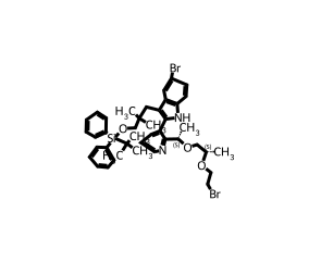 C[C@H](OC[C@H](C)OCCBr)c1ncccc1-c1[nH]c2ccc(Br)cc2c1CC(C)(C)CO[Si](c1ccccc1)(c1ccccc1)C(C)(C)C